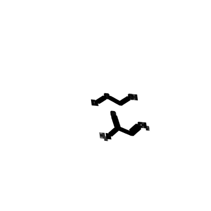 C=CC(N)=O.CCOCO